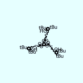 CC(C)(C)c1cc(CCCSCCC(=O)Oc2cc(OC(=O)CCSCCCc3cc(C(C)(C)C)cc(C(C)(C)C)c3O)cc(OC(=O)CCSCCCc3cc(C(C)(C)C)cc(C(C)(C)C)c3O)c2)c(O)c(C(C)(C)C)c1